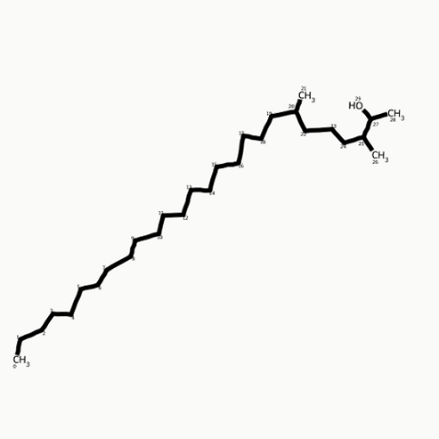 CCCCCCCCCCCCCCCCCCCCC(C)CCCC(C)C(C)O